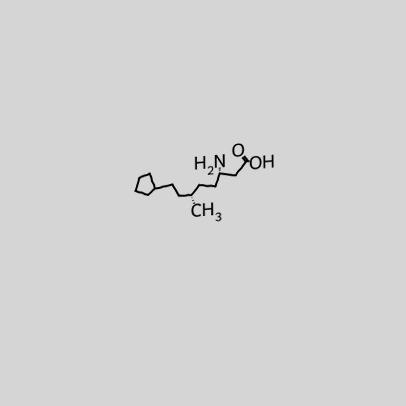 C[C@H](CCC1CCCC1)CC[C@H](N)CC(=O)O